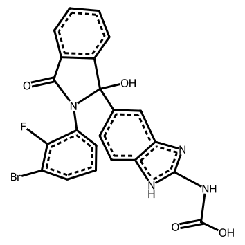 O=C(O)Nc1nc2cc(C3(O)c4ccccc4C(=O)N3c3cccc(Br)c3F)ccc2[nH]1